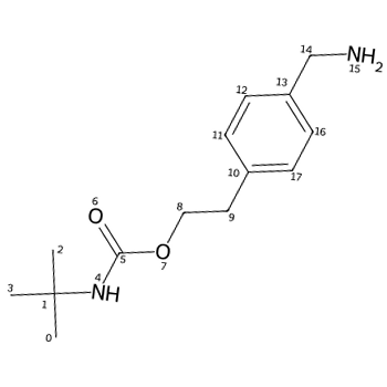 CC(C)(C)NC(=O)OCCc1ccc(CN)cc1